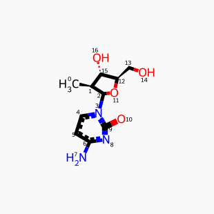 C[C@@H]1C(n2ccc(N)nc2=O)O[C@H](CO)[C@H]1O